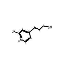 Clc1cc(CCCBr)ccn1